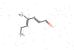 CCC=C(C)/C=C/C=O